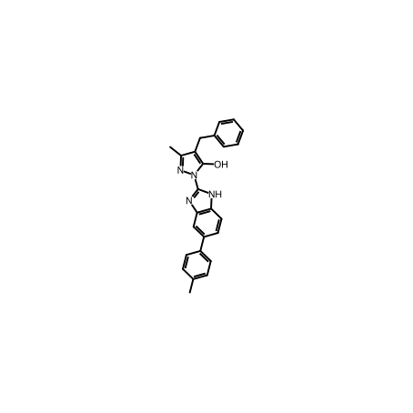 Cc1ccc(-c2ccc3[nH]c(-n4nc(C)c(Cc5ccccc5)c4O)nc3c2)cc1